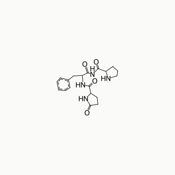 O=C1CCC(C(=O)NC(Cc2ccccc2)C(=O)NC(=O)C2CCCN2)N1